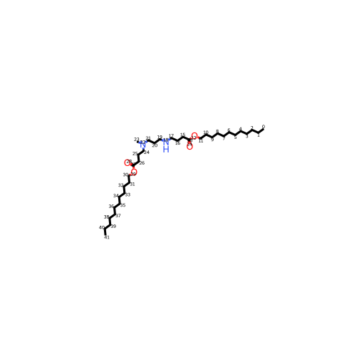 CCCCCCCCCCCCOC(=O)CCCNCCCN(C)CCCC(=O)OCCCCCCCCCCCC